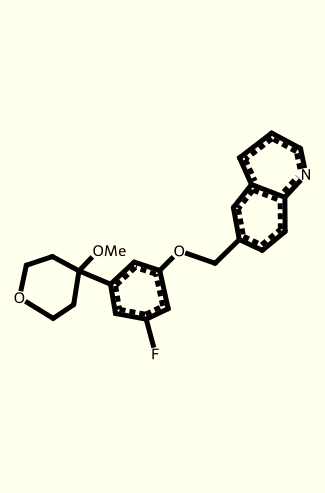 COC1(c2cc(F)cc(OCc3ccc4ncccc4c3)c2)CCOCC1